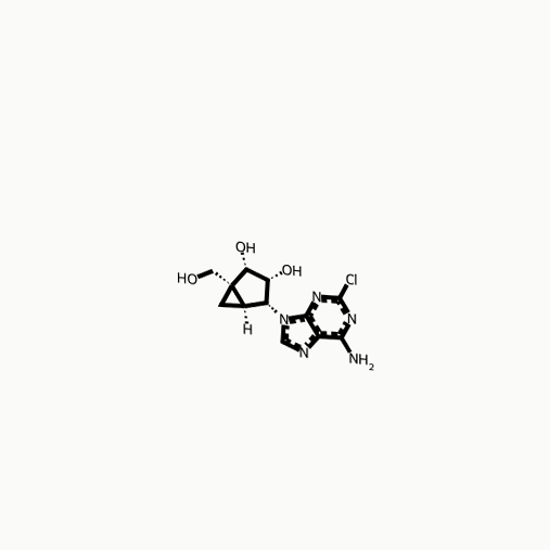 Nc1nc(Cl)nc2c1ncn2[C@H]1[C@@H](O)[C@@H](O)[C@]2(CO)C[C@H]12